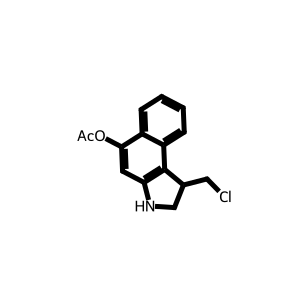 CC(=O)Oc1cc2c(c3ccccc13)C(CCl)CN2